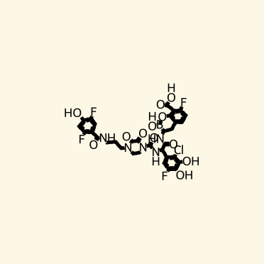 O=C(NCCCN1CCN(C(=O)NC(C(=O)NC2Cc3ccc(F)c(C(=O)O)c3OB2O)c2cc(F)c(O)c(O)c2Cl)C(=O)C1=O)c1cc(F)c(O)cc1F